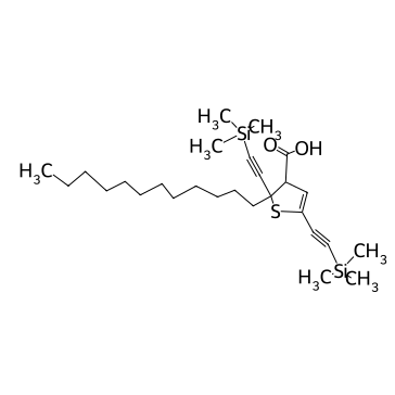 CCCCCCCCCCCCC1(C#C[Si](C)(C)C)SC(C#C[Si](C)(C)C)=CC1C(=O)O